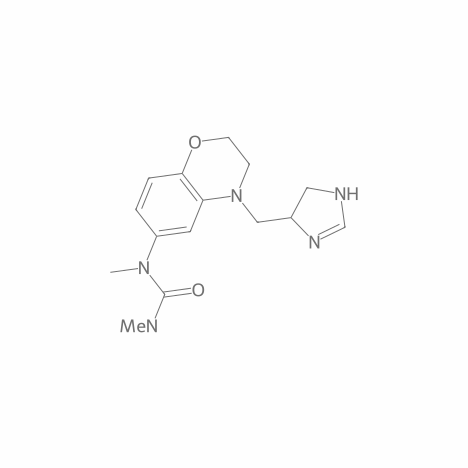 CNC(=O)N(C)c1ccc2c(c1)N(CC1CNC=N1)CCO2